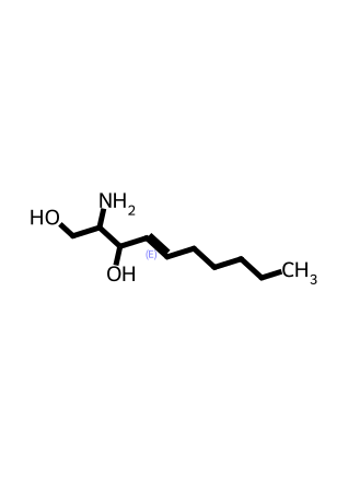 CCCCC/C=C/C(O)C(N)CO